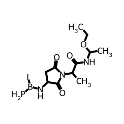 CCOC(C)NC(=O)C(C)N1C(=O)CC(NB(P)I)C1=O